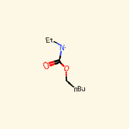 CCCCCOC(=O)[N]CC